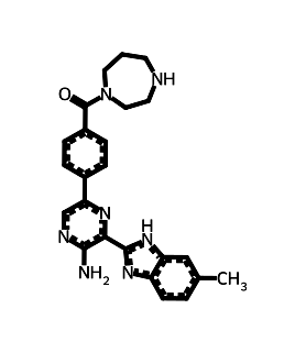 Cc1ccc2nc(-c3nc(-c4ccc(C(=O)N5CCCNCC5)cc4)cnc3N)[nH]c2c1